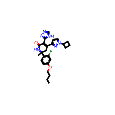 CCCCOc1ccc(C2(C)CC(c3ccn(C4CCC4)n3)=C(c3nnc[nH]3)C(=O)N2)c(F)c1